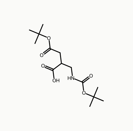 CC(C)(C)OC(=O)CC(CNC(=O)OC(C)(C)C)C(=O)O